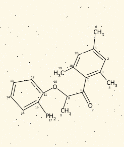 Cc1cc(C)c(C(=O)C(C)Oc2ccccc2P)c(C)c1